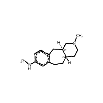 CC(C)Nc1ccc2c(c1)CC[C@H]1CCN(C)C[C@@H]1C2